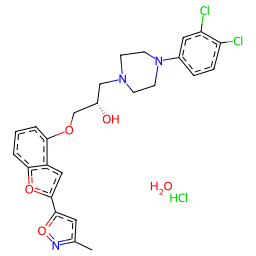 Cc1cc(-c2cc3c(OC[C@@H](O)CN4CCN(c5ccc(Cl)c(Cl)c5)CC4)cccc3o2)on1.Cl.O